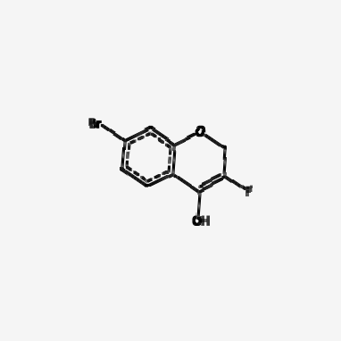 OC1=C(F)COc2cc(Br)ccc21